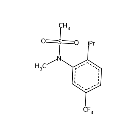 CC(C)c1ccc(C(F)(F)F)cc1N(C)S(C)(=O)=O